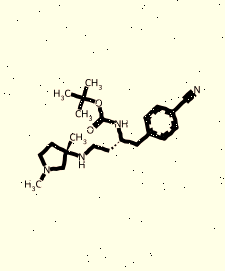 CN1CC[C@](C)(NCC[C@@H](Cc2ccc(C#N)cc2)NC(=O)OC(C)(C)C)C1